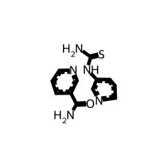 NC(=O)c1cccnc1.NC(=S)Nc1cccnc1